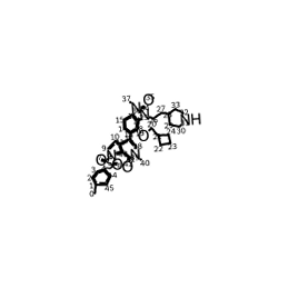 Cc1ccc(S(=O)(=O)n2ccc3c(-c4ccc5c(c4OCC4CCC4)n(CCC4CCNCC4)c(=O)n5C)cn(C)c(=O)c32)cc1